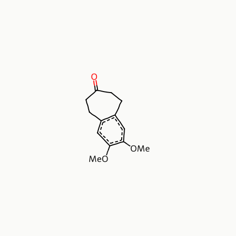 COc1cc2c(cc1OC)CCC(=O)CC2